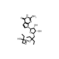 CCC(CC)(C[C@H]1O[C@@H](n2ccc3c(=O)[nH]c(N)nc32)[C@H](O)[C@@H]1O)OP1(=O)OCC1(O)CC